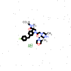 CC1COCCN1C[C@H]1CN[C@H](C)CN1CC(=O)N1CC(C)(C(=O)NCC(=O)O)c2ccc(Cc3ccc(F)cc3)cc21.Cl.Cl